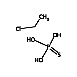 CCCl.OP(O)(O)=S